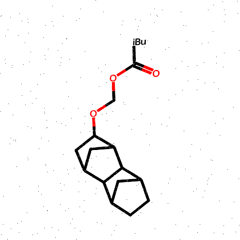 CCC(C)C(=O)OCOC1CC2CC1C1C3CCC(C3)C21